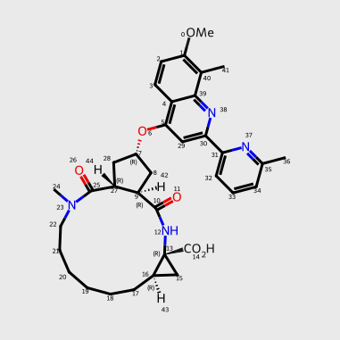 COc1ccc2c(O[C@@H]3C[C@H]4C(=O)N[C@]5(C(=O)O)C[C@H]5CCCCCCN(C)C(=O)[C@@H]4C3)cc(-c3cccc(C)n3)nc2c1C